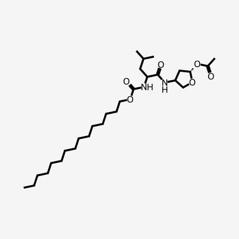 CCCCCCCCCCCCCCCOC(=O)NC(CC(C)C)C(=O)NC1CO[C@@H](OC(C)=O)C1